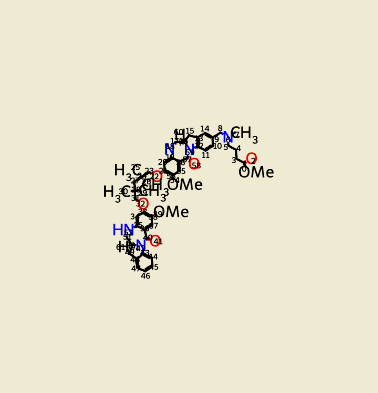 COC(=O)CCCN(C)Cc1ccc2c(c1)C[C@H]1C=Nc3cc(OCC(C)(C)CC(C)(C)COc4cc5c(cc4OC)C(=O)N4c6ccccc6C[C@H]4CN5)c(OC)cc3C(=O)N21